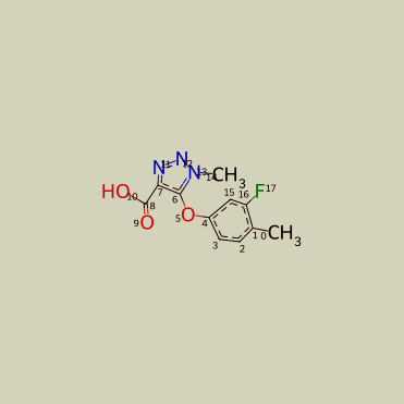 Cc1ccc(Oc2c(C(=O)O)nnn2C)cc1F